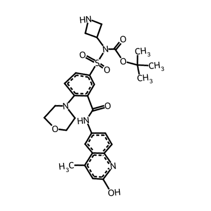 Cc1cc(O)nc2ccc(NC(=O)c3cc(S(=O)(=O)N(C(=O)OC(C)(C)C)C4CNC4)ccc3N3CCOCC3)cc12